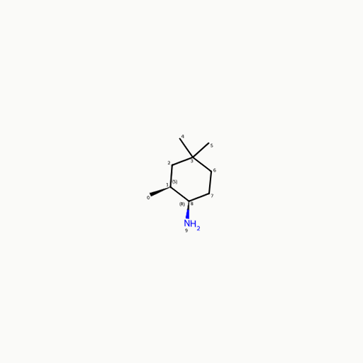 C[C@H]1CC(C)(C)CC[C@H]1N